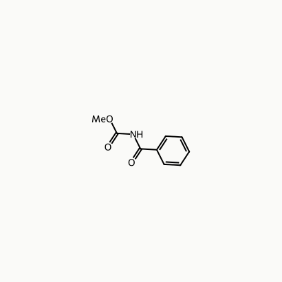 COC(=O)NC(=O)c1ccccc1